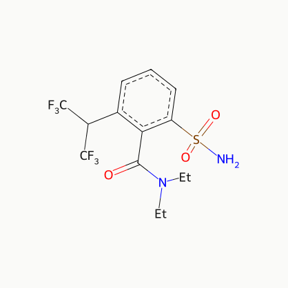 CCN(CC)C(=O)c1c(C(C(F)(F)F)C(F)(F)F)cccc1S(N)(=O)=O